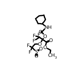 CCOC(=O)C(OCC(F)(F)[SH](=O)=O)(OC(=O)NC1CCCCC1)C(F)(F)F